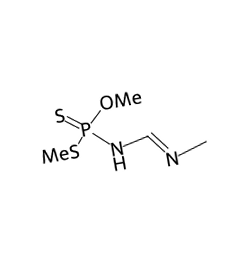 C/N=C/NP(=S)(OC)SC